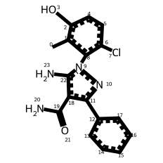 Cc1c(O)ccc(Cl)c1-n1nc(-c2ccccc2)c(C(N)=O)c1N